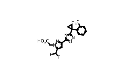 Cc1ccccc1C1(c2noc(-c3cc(C(F)F)n(CC(=O)O)n3)n2)CC1